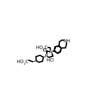 Cl.O=C(O)CC[C@H]1CC[C@H](N2CC[N+](CC(=O)O)(c3ccc4c(c3)CCNCC4)C2=O)CC1